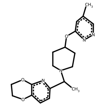 Cc1cnnc(OC2CCN(C(C)c3ccc4c(n3)OCCO4)CC2)c1